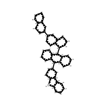 c1ccc2cc(-c3ccc4c(-c5c6ccccc6c(-c6ccc7oc8ccccc8c7c6)c6ccccc56)cccc4c3)ccc2c1